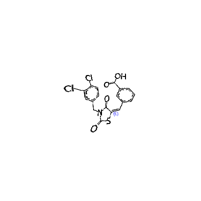 O=C(O)c1cccc(/C=C2/SC(=O)N(Cc3ccc(Cl)c(Cl)c3)C2=O)c1